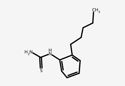 CCCCCc1ccccc1NC(N)=S